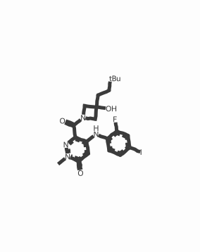 Cn1nc(C(=O)N2CC(O)(CCC(C)(C)C)C2)c(Nc2ccc(I)cc2F)cc1=O